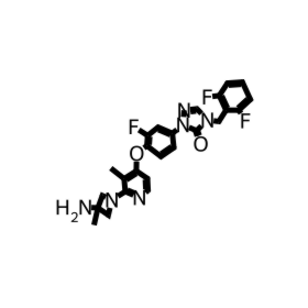 Cc1c(Oc2ccc(-n3ncn(Cc4c(F)cccc4F)c3=O)cc2F)ccnc1N1CC(C)(N)C1